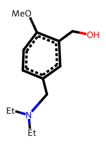 CCN(CC)Cc1ccc(OC)c(CO)c1